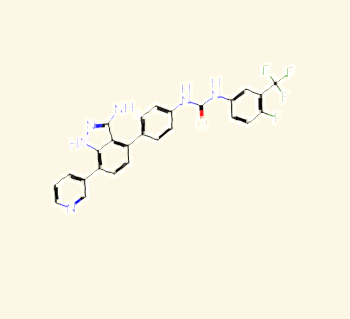 Nc1n[nH]c2c(-c3cccnc3)ccc(-c3ccc(NC(=O)Nc4ccc(F)c(C(F)(F)F)c4)cc3)c12